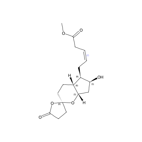 COC(=O)C/C=C\C[C@@H]1[C@H]2CC[C@@]3(CCC(=O)O3)O[C@H]2C[C@@H]1O